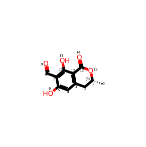 C[C@@H]1Cc2cc(O)c(C=O)c(O)c2C(=O)O1